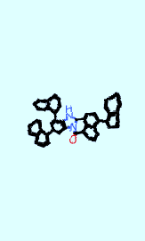 O=C1c2cccc3c(-c4cccc5ccccc45)ccc(c23)C2Nc3c(-c4cccc5ccccc45)cc(-c4cccc5ccccc45)cc3N12